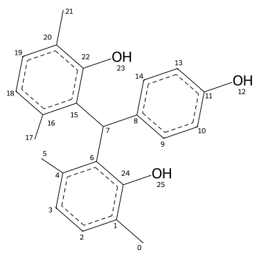 Cc1ccc(C)c(C(c2ccc(O)cc2)c2c(C)ccc(C)c2O)c1O